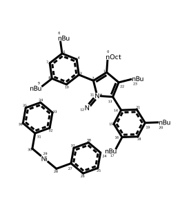 CCCCCCCCC1=C(c2cc(CCCC)cc(CCCC)c2)[N+](=[N-])C(c2cc(CCCC)cc(CCCC)c2)=C1CCCC.c1ccc([CH2][Ni][CH2]c2ccccc2)cc1